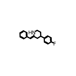 Fc1ccc(C2CCNC(=Cc3ccccc3)C2)cc1